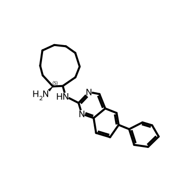 N[C@H]1CCCCCCCCC1Nc1ncc2cc(-c3ccccc3)ccc2n1